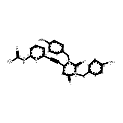 COc1ccc(Cn2c(C#Cc3cccc(NC(=O)C(F)(F)F)n3)cc(=O)n(Cc3ccc(OC)cc3)c2=O)cc1